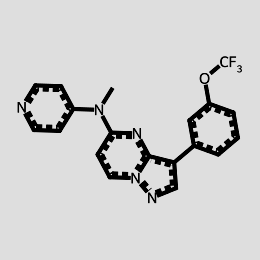 CN(c1ccncc1)c1ccn2ncc(-c3cccc(OC(F)(F)F)c3)c2n1